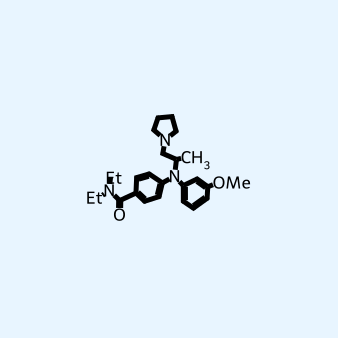 CCN(CC)C(=O)c1ccc(N(c2cccc(OC)c2)C(C)CN2CCCC2)cc1